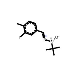 Cc1ccc(/C=N/[S@+]([O-])C(C)(C)C)cc1I